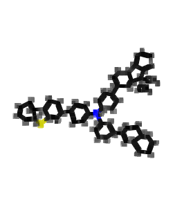 CC1(C)c2ccccc2-c2ccc(-c3ccc(N(c4ccc(-c5ccc6c(c5)sc5ccccc56)cc4)c4cccc(-c5ccc6ccccc6c5)c4)cc3)cc21